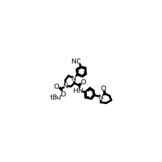 CC(C)(C)OC(=O)N1CCN(c2cccc(C#N)c2)C(C(=O)Nc2ccc(N3CCCCC3=O)cc2)C1